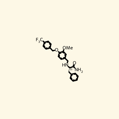 COc1cc(CN[C@@H](Cc2ccccc2)C(N)=O)ccc1OCc1ccc(C(F)(F)F)cc1